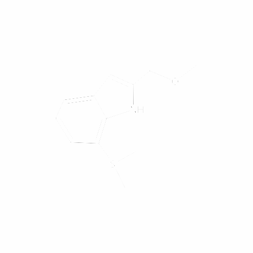 COCc1cc2cccc([Si](C)(C)C)c2[nH]1